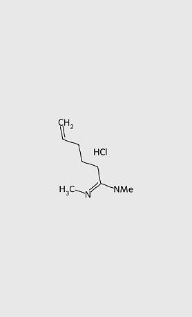 C=CCCCC(=NC)NC.Cl